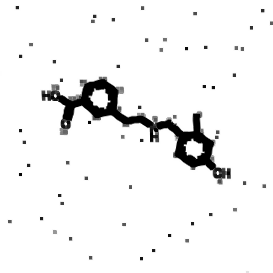 Cc1cc(O)ccc1CNCCc1cccc(C(=O)O)c1